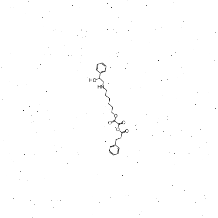 O=C(CCc1ccccc1)OC(=O)C(=O)OCCCCCCNCC(O)c1ccccc1